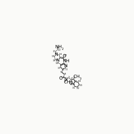 Cc1c(CN(C)C(=O)/C=C/c2cnc3c(c2)CN2CCN(CCN)CC2C(=O)N3)oc2ccccc12